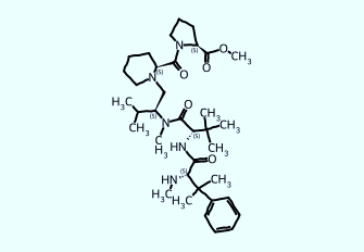 CN[C@H](C(=O)N[C@H](C(=O)N(C)[C@H](CN1CCCC[C@H]1C(=O)N1CCC[C@H]1C(=O)OC)C(C)C)C(C)(C)C)C(C)(C)c1ccccc1